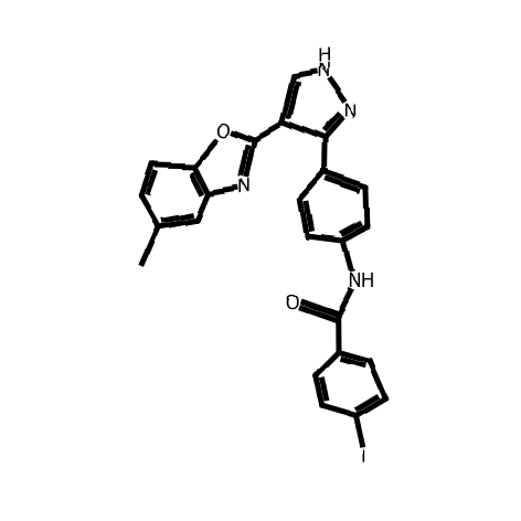 Cc1ccc2oc(-c3c[nH]nc3-c3ccc(NC(=O)c4ccc(I)cc4)cc3)nc2c1